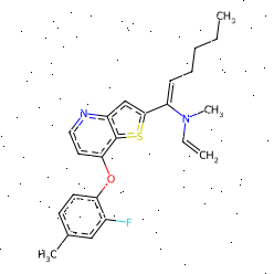 C=CN(C)/C(=C\CCCC)c1cc2nccc(Oc3ccc(C)cc3F)c2s1